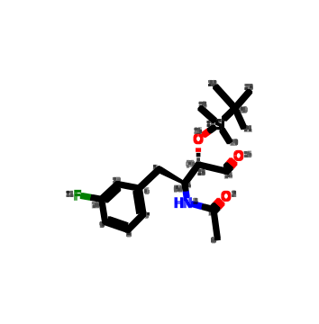 CC(=O)N[C@@H](Cc1cccc(F)c1)[C@@H](C=O)O[Si](C)(C)C(C)(C)C